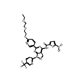 CCOCCOCCOc1ccc(-c2nc(NC(=O)c3ccc([N+](=O)[O-])s3)c3cnn(-c4ccc(C(F)(F)F)cn4)c3n2)cn1